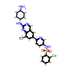 CCc1cc(-c2ccc(NS(=O)(=O)c3ccccc3Cl)cn2)cc2cnc(N[C@H]3CC[C@H](N)CC3)nc12